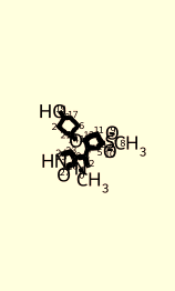 Cn1cc(-c2cc(S(C)(=O)=O)ccc2OC2CCC(O)CC2)c2cc[nH]c(=O)c21